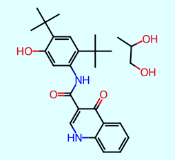 CC(C)(C)c1cc(C(C)(C)C)c(NC(=O)c2c[nH]c3ccccc3c2=O)cc1O.CC(O)CO